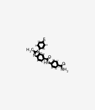 Cc1nc2ccc(C(=O)Nc3ccc(C(N)=O)cc3)cc2n1-c1ccc(F)cc1